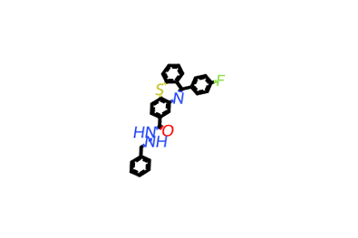 O=C(NNCc1ccccc1)c1ccc2c(c1)N=C(c1ccc(F)cc1)c1ccccc1S2